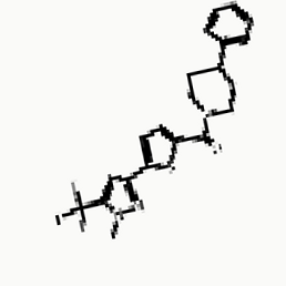 Cn1nc(-c2ccc(C(=O)N3CCC(c4ccccc4)CC3)s2)cc1C(F)(F)F